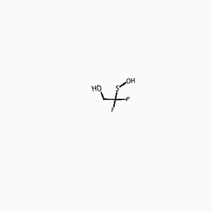 OCC(F)(F)SO